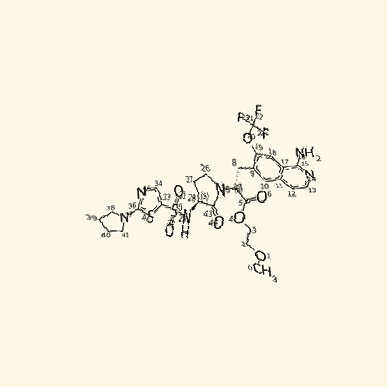 COCCOC(=O)[C@@H](Cc1cc2ccnc(N)c2cc1OC(F)(F)F)N1CC[C@H](NS(=O)(=O)c2cnc(N3CCCC3)s2)C1=O